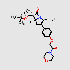 C[C@@H](O[Si](C)(C)C)[C@H]1C(=O)N2C(C(=O)O)=C(c3ccc(OCC(=O)N4CCOCC4)cc3)C[C@H]12